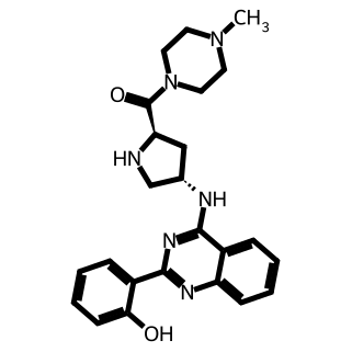 CN1CCN(C(=O)[C@H]2C[C@H](Nc3nc(-c4ccccc4O)nc4ccccc34)CN2)CC1